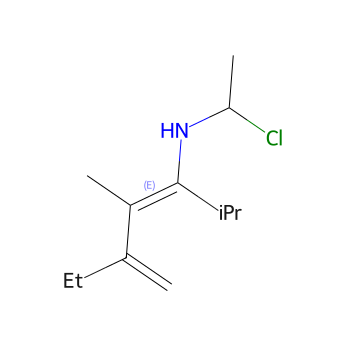 C=C(CC)/C(C)=C(/NC(C)Cl)C(C)C